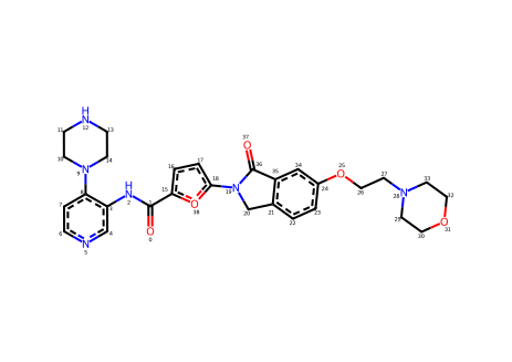 O=C(Nc1cnccc1N1CCNCC1)c1ccc(N2Cc3ccc(OCCN4CCOCC4)cc3C2=O)o1